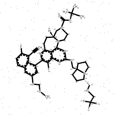 C#Cc1c(F)ccc2cc(OCOC)cc(-c3nc4c5c(nc(OC[C@@]67CCCN6[C@H](COCC(F)(F)F)CC7)nc5c3F)N3CCN(C(=O)OC(C)(C)C)C[C@H]3CC4)c12